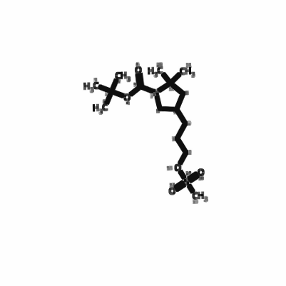 CC(C)(C)OC(=O)N1CC(CCCOS(C)(=O)=O)CC1(C)C